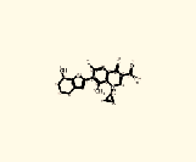 Cc1c(-c2cc3c(s2)C(O)CCC3)c(F)cc2c(=O)c(C(=O)O)cn(C3CC3)c12